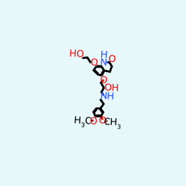 COc1ccc(CCNCC(O)COc2ccc(OCCCO)c3c2CCC(=O)N3)cc1OC